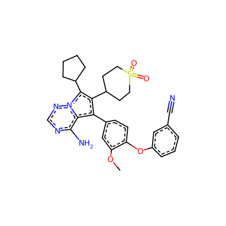 COc1cc(-c2c(C3CCS(=O)(=O)CC3)c(C3CCCC3)n3ncnc(N)c23)ccc1Oc1cccc(C#N)c1